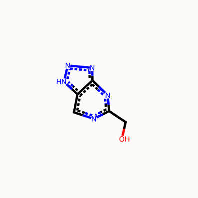 OCc1ncc2[nH]nnc2n1